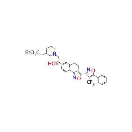 CCOC(=O)CC1CCCN(C[C@H](O)c2ccc3c(c2)CCc2c-3noc2-c2noc(-c3ccccc3)c2C(F)(F)F)C1